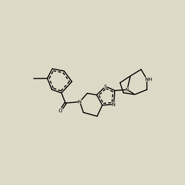 Cc1cccc(C(=O)N2CCc3nc(N4C5CCC4CNC5)sc3C2)c1